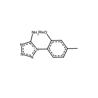 COc1cc(C)ccc1-n1nnnc1N